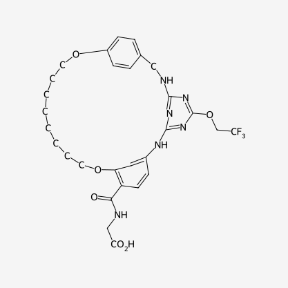 O=C(O)CNC(=O)c1ccc2cc1OCCCCCCCCOc1ccc(cc1)CNc1nc(nc(OCC(F)(F)F)n1)N2